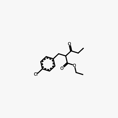 CCOC(=O)C(Cc1ccc(Cl)cc1)C(=O)CC